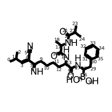 CC(C)C=C(C#N)C(=N)CCCCC(NC(=O)C(C)NC(=O)C(C)C)C(=O)NC(Cc1ccccc1)B(O)O